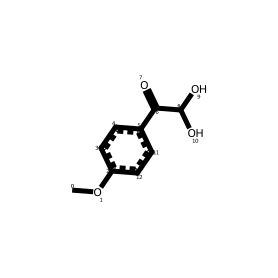 COc1ccc(C(=O)C(O)O)cc1